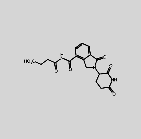 O=C(O)CCC(=O)NC(=O)c1cccc2c1CN(C1CCC(=O)NC1=O)C2=O